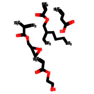 C=C(C)C(=O)OCC1CO1.C=CC(=O)OCC(CC)CCCC.C=CC(=O)OCCO.C=CCC(=O)O